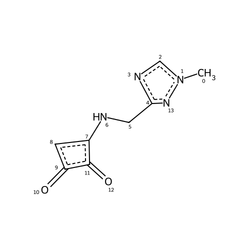 Cn1cnc(CNc2cc(=O)c2=O)n1